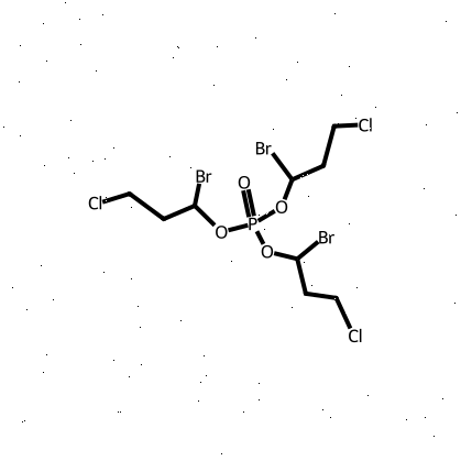 O=P(OC(Br)CCCl)(OC(Br)CCCl)OC(Br)CCCl